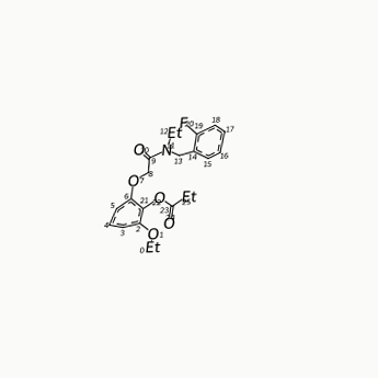 CCOc1cccc(OCC(=O)N(CC)Cc2ccccc2F)c1OC(=O)CC